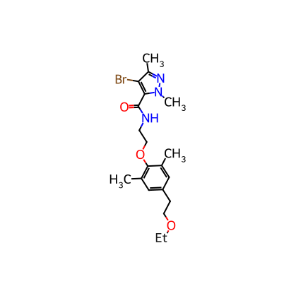 CCOCCc1cc(C)c(OCCNC(=O)c2c(Br)c(C)nn2C)c(C)c1